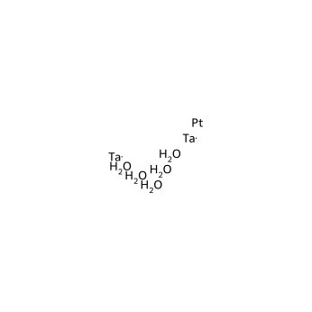 O.O.O.O.O.[Pt].[Ta].[Ta]